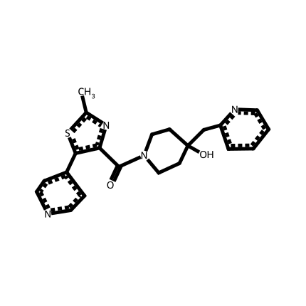 Cc1nc(C(=O)N2CCC(O)(Cc3ccccn3)CC2)c(-c2ccncc2)s1